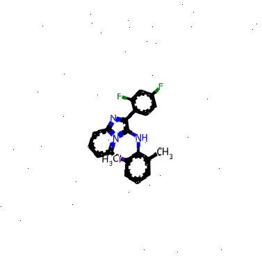 Cc1cccc(I)c1Nc1c(-c2ccc(F)cc2F)nc2cccc(C)n12